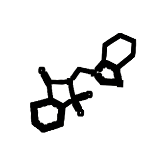 O=C1c2ccccc2S(=O)(=O)N1Cn1cnc2c1CCCC2